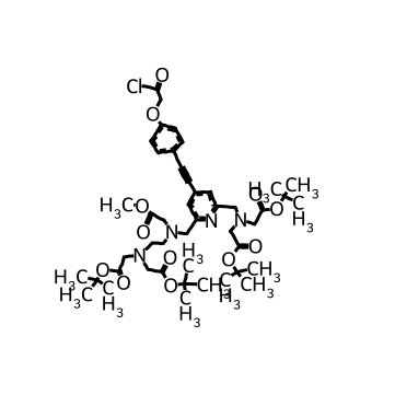 COC(=O)CN(CCN(CC(=O)OC(C)(C)C)CC(=O)OC(C)(C)C)Cc1cc(C#Cc2ccc(OCC(=O)Cl)cc2)cc(CN(CC(=O)OC(C)(C)C)CC(=O)OC(C)(C)C)n1